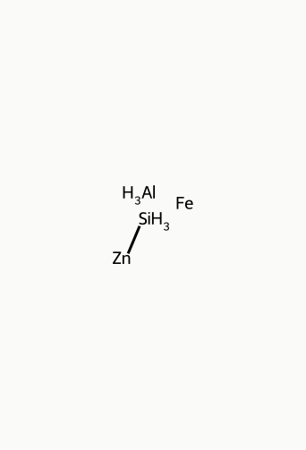 [AlH3].[Fe].[SiH3][Zn]